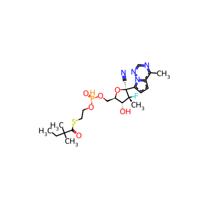 CCC(C)(C)C(=O)SCCO[PH](=O)OC[C@H]1O[C@@](C#N)(c2ccc3c(C)ncnn23)[C@](C)(F)[C@@H]1O